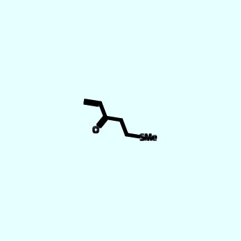 C=CC(=O)CCSC